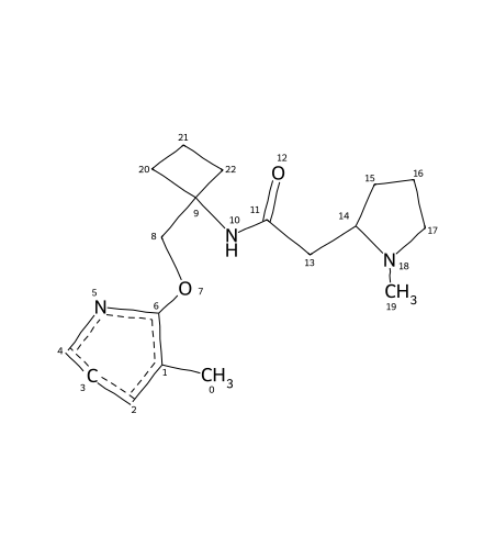 Cc1cccnc1OCC1(NC(=O)CC2CCCN2C)CCC1